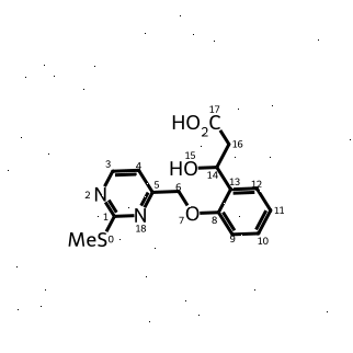 CSc1nccc(COc2ccccc2C(O)CC(=O)O)n1